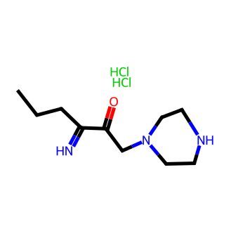 CCCC(=N)C(=O)CN1CCNCC1.Cl.Cl